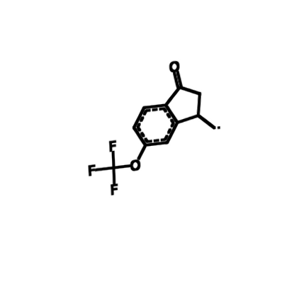 [CH2]C1CC(=O)c2ccc(OC(F)(F)F)cc21